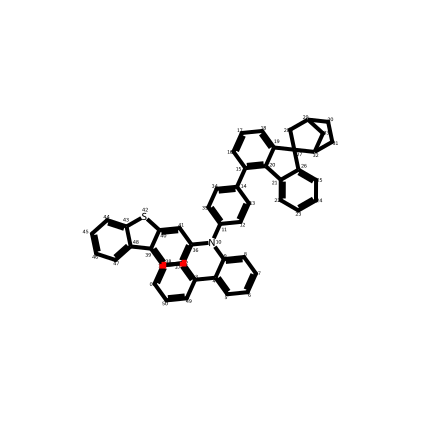 c1ccc(-c2ccccc2N(c2ccc(-c3cccc4c3-c3ccccc3C43CC4CCC3C4)cc2)c2ccc3c(c2)sc2ccccc23)cc1